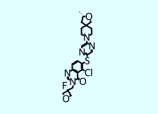 C[C@H]1CC2(CCN(c3cnc(Sc4ccc5ncn(CC6(F)COC6)c(=O)c5c4Cl)cn3)CC2)CO1